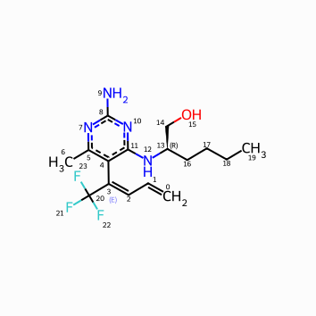 C=C/C=C(\c1c(C)nc(N)nc1N[C@@H](CO)CCCC)C(F)(F)F